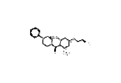 C=CCO[C@H]1C[C@H](C(=O)O)C(C(=O)N2CCN(c3ccccc3)CC2)N(C(=O)O)C1